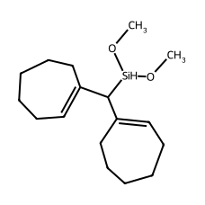 CO[SiH](OC)C(C1=CCCCCC1)C1=CCCCCC1